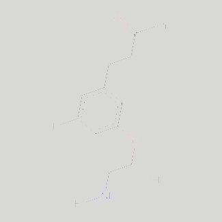 CCNC[C@@H](C)Oc1cc(F)cc(CCC(=O)C(C)C)c1